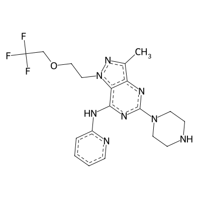 Cc1nn(CCOCC(F)(F)F)c2c(Nc3ccccn3)nc(N3CCNCC3)nc12